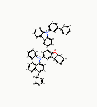 c1ccc(-c2cccc(-n3c4ccccc4c4cc(-c5cc(N(c6ccccc6)c6ccc(-c7ccccc7)c7ccccc67)cc6c5oc5ccccc56)ccc43)c2)cc1